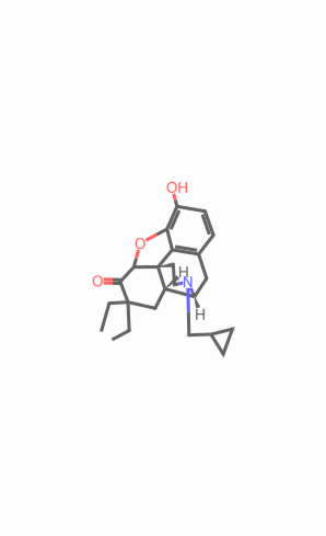 CCC1(CC)C[C@H]2[C@H]3Cc4ccc(O)c5c4[C@@]2(CCN3CC2CC2)C(O5)C1=O